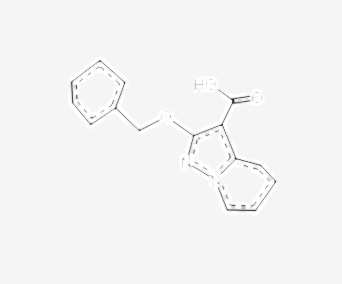 O=C(O)c1c(OCc2ccccc2)nn2ccccc12